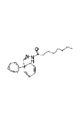 CCCCCCCC(=O)N/N=C\C1(c2ccccc2)C=CC=CC1